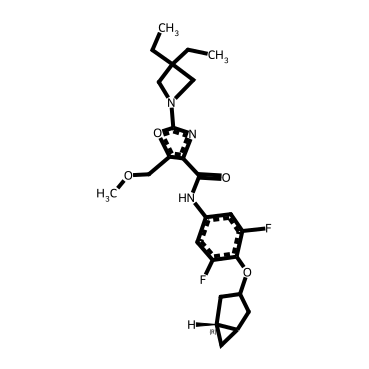 CCC1(CC)CN(c2nc(C(=O)Nc3cc(F)c(OC4CC5C[C@@H]5C4)c(F)c3)c(COC)o2)C1